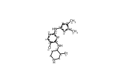 CCC1CNCCC1Nc1nc(Nc2cc(C)n(C)n2)ncc1Cl